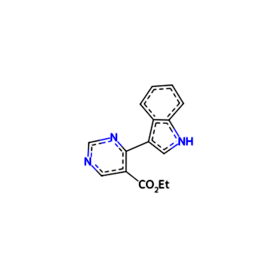 CCOC(=O)c1cncnc1-c1c[nH]c2ccccc12